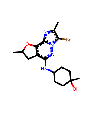 Cc1nc2c3c(c(NC4CCC(C)(O)CC4)nn2c1Br)CC(C)O3